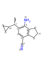 C[C@@H](c1cc(C#N)c2c(c1N)CCC2)C1CC1